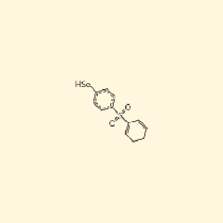 O=S(=O)(C1=CCCC=C1)c1ccc([SeH])cc1